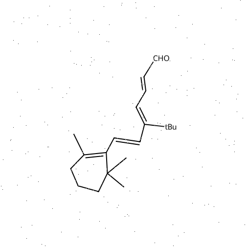 CC1=C(C=CC(=CC=CC=O)C(C)(C)C)C(C)(C)CCC1